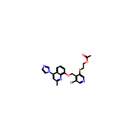 CC(=O)OCCSc1cncc(Cl)c1COc1cccc2c(-n3ccnc3)cc(C)nc12